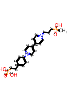 CP(=O)(O)CCC[n+]1ccc(-c2cc[n+](-c3ccc(CCP(=O)(O)O)cc3)cc2)cc1